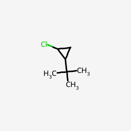 CC(C)(C)C1CC1Cl